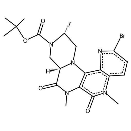 C[C@@H]1CN2c3c(c(=O)n(C)c4ccc(Br)nc34)N(C)C(=O)[C@H]2CN1C(=O)OC(C)(C)C